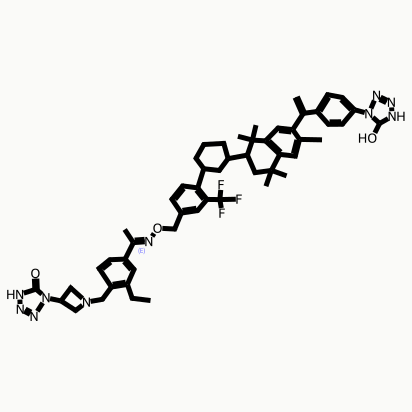 C=C(c1ccc(N2N=NNC2O)cc1)c1cc2c(cc1C)C(C)(C)CC(C1CCCC(c3ccc(CO/N=C(\C)c4ccc(CN5CC(n6nn[nH]c6=O)C5)c(CC)c4)cc3C(F)(F)F)C1)C2(C)C